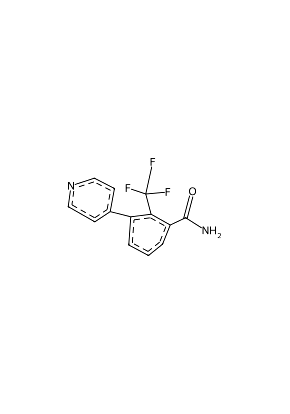 NC(=O)c1cccc(-c2ccncc2)c1C(F)(F)F